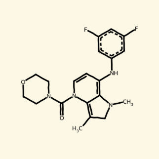 CC1=C2C(=C(Nc3cc(F)cc(F)c3)C=CN2C(=O)N2CCOCC2)N(C)C1